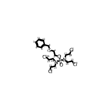 O=P(OCCSCc1ccccc1)(N(CCCl)CCCl)N(CCCl)CCCl